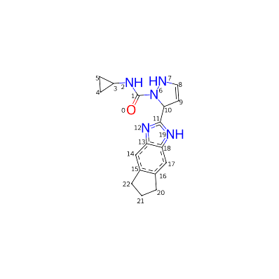 O=C(NC1CC1)N1NC=CC1c1nc2cc3c(cc2[nH]1)CCC3